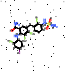 NC(=O)c1cc(Cc2cccc(NS(N)(=O)=O)c2F)c(F)c(F)c1Nc1ccc(I)cc1F